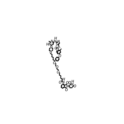 CC1=NC(Nc2ncc(C[NH+]([O-])c3ccc(Oc4ccccc4)cc3C)s2)=CC(N2CCN(CCCCCCOCCOCCOCCCCCC(=O)Nc3cccc4c3C(=O)N(C3CCC(=O)NC3=O)C4=O)CC2)N1